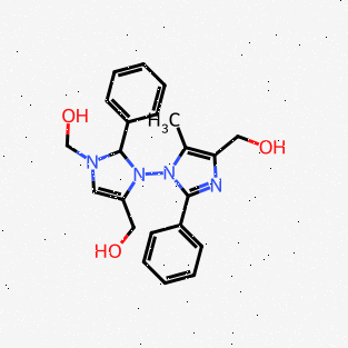 Cc1c(CO)nc(-c2ccccc2)n1N1C(CO)=CN(CO)C1c1ccccc1